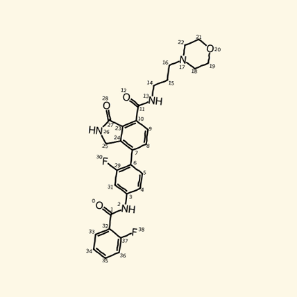 O=C(Nc1ccc(-c2ccc(C(=O)NCCCN3CCOCC3)c3c2CNC3=O)c(F)c1)c1ccccc1F